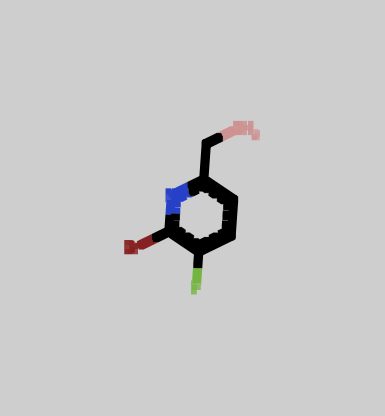 BCc1ccc(F)c(Br)n1